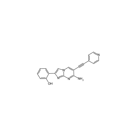 Nc1nc2nc(-c3ccccc3O)cn2cc1C#Cc1ccncc1